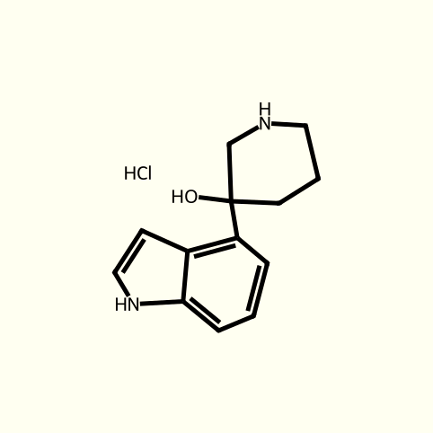 Cl.OC1(c2cccc3[nH]ccc23)CCCNC1